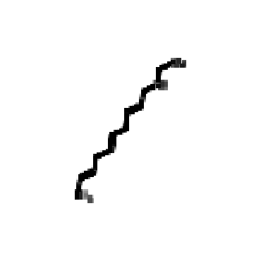 CC(C)(C)CNC/C=C/C/C=C/C/C=C/N